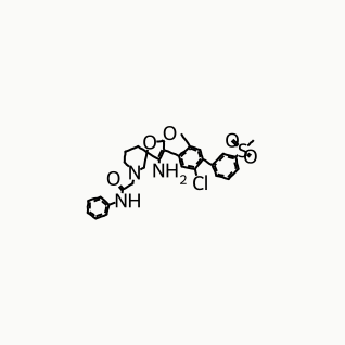 Cc1cc(-c2cccc(S(C)(=O)=O)c2)c(Cl)cc1C1=C(N)C2(CCCN(CC(=O)Nc3ccccc3)C2)OC1=O